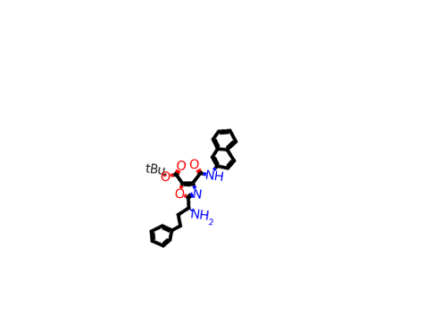 CC(C)(C)OC(=O)c1oc([C@H](N)CCc2ccccc2)nc1C(=O)Nc1ccc2ccccc2c1